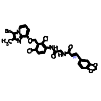 Cc1nc2c(OCc3c(Cl)ccc(NC(=O)CNC(=O)/C=C/c4ccc5c(c4)OCO5)c3Cl)cccn2c1Br